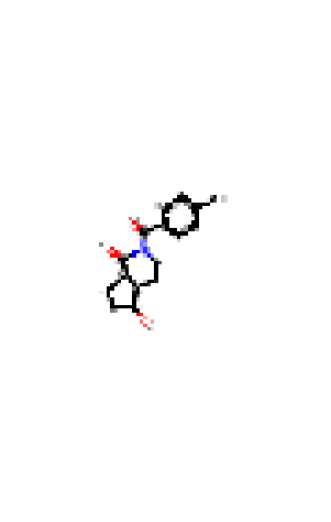 Cc1ccc(C(=O)N2CCC3C(O)CCC3C2=O)cc1